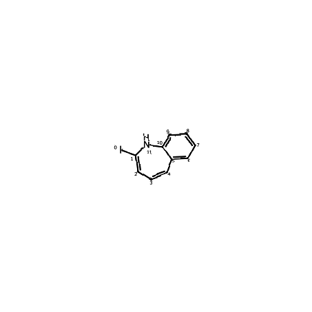 IC1=CC=Cc2ccccc2N1